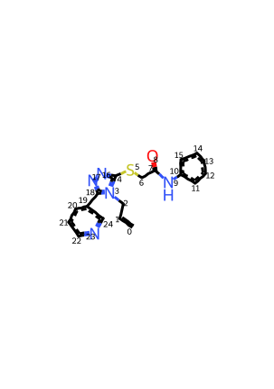 C=CCn1c(SCC(=O)Nc2ccccc2)nnc1-c1cccnc1